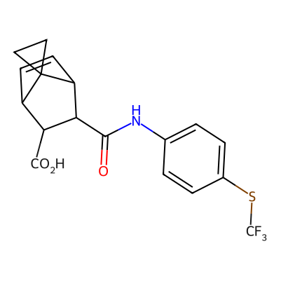 O=C(O)C1C(C(=O)Nc2ccc(SC(F)(F)F)cc2)C2C=CC1C21CC1